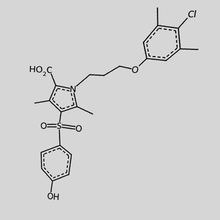 Cc1cc(OCCCn2c(C)c(S(=O)(=O)c3ccc(O)cc3)c(C)c2C(=O)O)cc(C)c1Cl